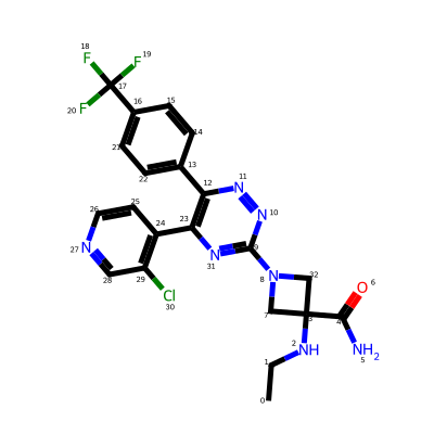 CCNC1(C(N)=O)CN(c2nnc(-c3ccc(C(F)(F)F)cc3)c(-c3ccncc3Cl)n2)C1